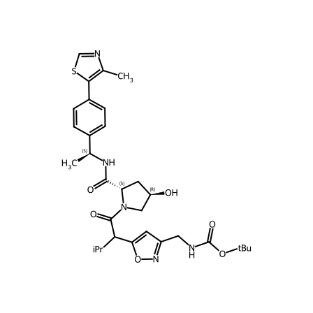 Cc1ncsc1-c1ccc([C@H](C)NC(=O)[C@@H]2C[C@@H](O)CN2C(=O)C(c2cc(CNC(=O)OC(C)(C)C)no2)C(C)C)cc1